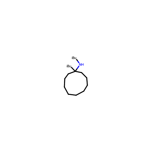 CCC(C)NC1(C(C)CC)CCCCCCCCC1